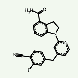 N#Cc1ccc(Cc2ccnc(N3CCc4c(C(N)=O)cccc43)c2)cc1F